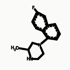 CC1CN(c2cccc3cc(F)ccc23)CCN1